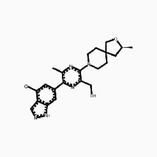 Cc1nc(N2CCC3(CC2)CO[C@@H](C)C3)c(CO)nc1-c1cc(Cl)c2cn[nH]c2c1